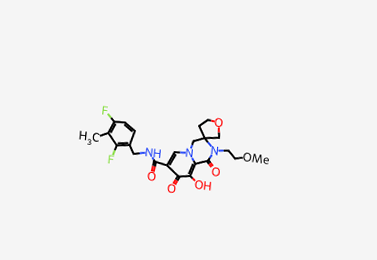 COCCN1C(=O)c2c(O)c(=O)c(C(=O)NCc3ccc(F)c(C)c3F)cn2CC12CCOC2